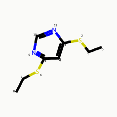 CCSc1[c]c(SCC)ncn1